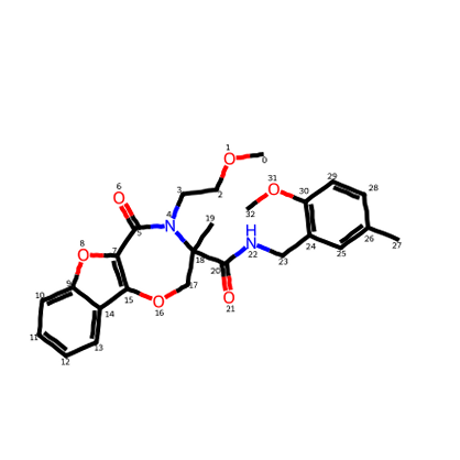 COCCN1C(=O)c2oc3ccccc3c2OCC1(C)C(=O)NCc1cc(C)ccc1OC